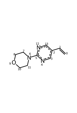 C=Cc1cnc(N2CCOCC2)nc1